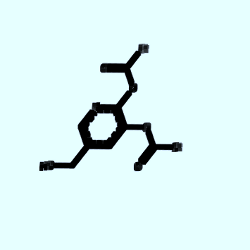 CCC(=O)Oc1cc(CO)cnc1OC(=O)CC